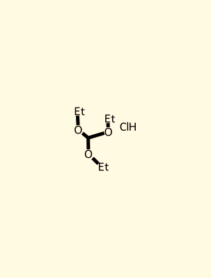 CCOC(OCC)OCC.Cl